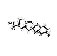 C=N/C(=C\C(=C/C)C(=O)OC)Cc1cnc2ccc(F)cc2n1